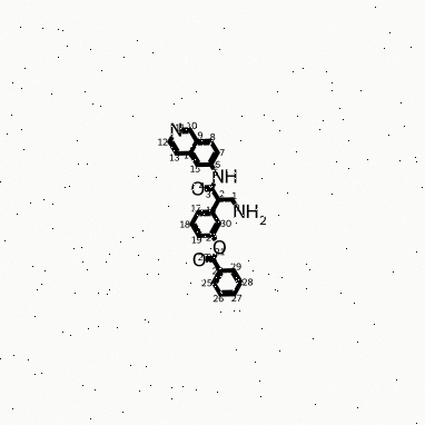 NCC(C(=O)Nc1ccc2cnccc2c1)c1cccc(OC(=O)c2ccccc2)c1